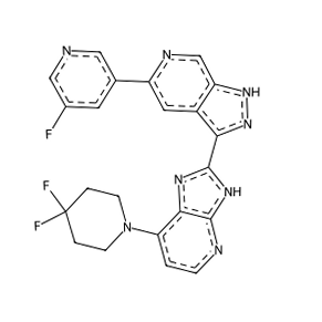 Fc1cncc(-c2cc3c(-c4nc5c(N6CCC(F)(F)CC6)ccnc5[nH]4)n[nH]c3cn2)c1